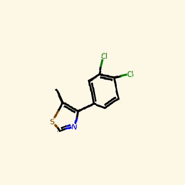 Cc1s[c]nc1-c1ccc(Cl)c(Cl)c1